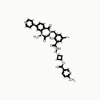 Cc1ccc(C(=O)O[C@H]2C[C@@H](CNC(=O)c3cc(F)cc(CN4C(=O)c5ccc(-c6ccncc6)cc5N(C)C(=O)[C@H]4C)c3)C2)cn1